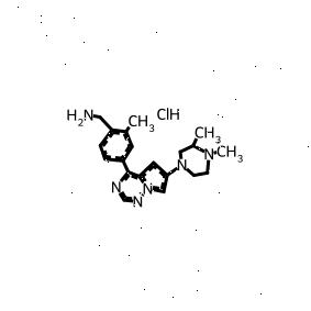 Cc1cc(-c2ncnn3cc(N4CCN(C)C(C)C4)cc23)ccc1CN.Cl